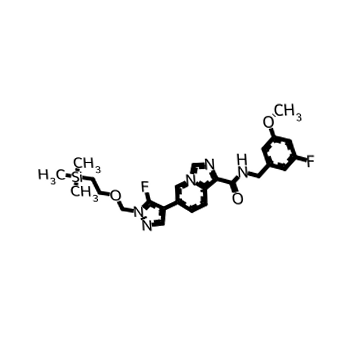 COc1cc(F)cc(CNC(=O)c2ncn3cc(-c4cnn(COCC[Si](C)(C)C)c4F)ccc23)c1